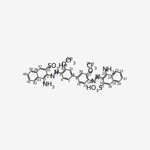 Nc1c(/N=N/c2ccc(-c3ccc(/N=N/c4c(S(=O)(=O)O)cc5ccccc5c4N)c(OC(F)(F)F)c3)cc2OC(F)(F)F)c(S(=O)(=O)O)cc2ccccc12